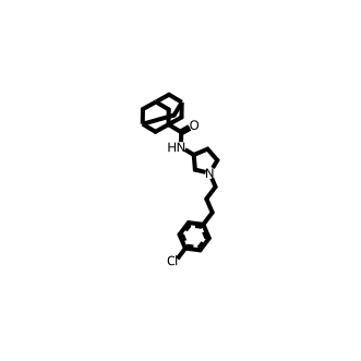 O=C(NC1CCN(CCCc2ccc(Cl)cc2)C1)C12CC3CC(CC(C3)C1)C2